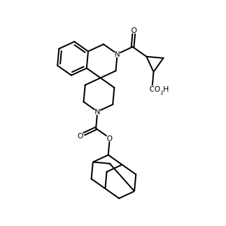 O=C(O)C1CC1C(=O)N1Cc2ccccc2C2(CCN(C(=O)OC3C4CC5CC(C4)CC3C5)CC2)C1